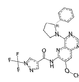 COc1cc2ncnc(N3CCC[C@@H]3c3ccccc3)c2nc1NC(=O)c1cnn(C(F)(F)F)c1